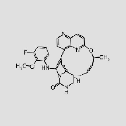 COc1c(F)cccc1Nc1c2cc3n1C(=O)NC[C@@H]3C/C=C\[C@H](C)Oc1ccc3nccc-2c3n1